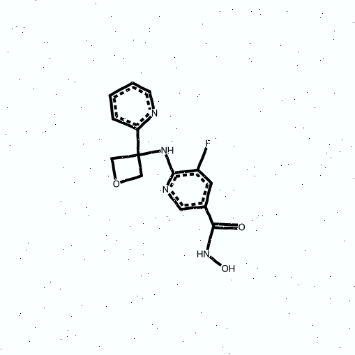 O=C(NO)c1cnc(NC2(c3ccccn3)COC2)c(F)c1